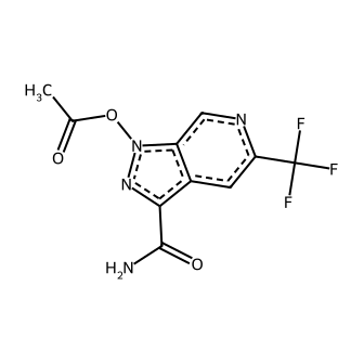 CC(=O)On1nc(C(N)=O)c2cc(C(F)(F)F)ncc21